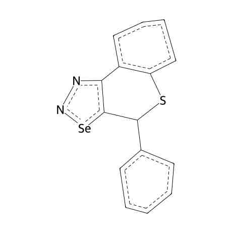 c1ccc(C2Sc3ccccc3-c3nn[se]c32)cc1